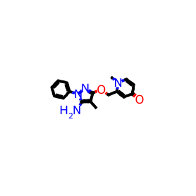 Cc1c(OCc2cc(=O)ccn2C)nn(-c2ccccc2)c1N